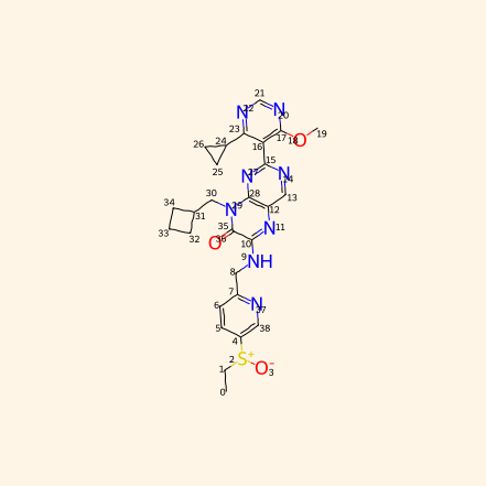 CC[S+]([O-])c1ccc(CNc2nc3cnc(-c4c(OC)ncnc4C4CC4)nc3n(CC3CCC3)c2=O)nc1